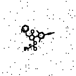 CC#Cc1cc(C)c(C2=C(OC(=O)SC(C)C)CC(Cc3ccccn3)C2=O)c(C)c1